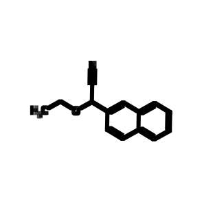 CCOC(C#N)c1ccc2ccccc2c1